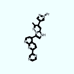 CC1=NN2C(c3ccnc4nc(-c5cnccn5)ccc34)=CNC2C=C1c1cnn(C(C)C)c1